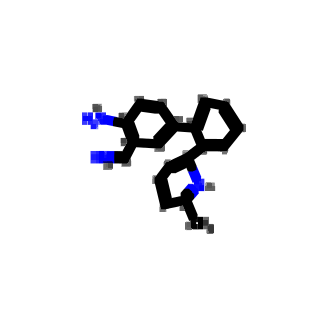 Cc1cccc(-c2ccccc2-c2ccc(N)c(C=N)c2)n1